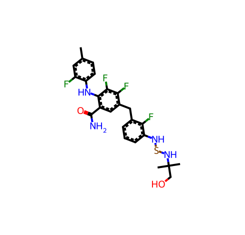 Cc1ccc(Nc2c(C(N)=O)cc(Cc3cccc(NSNC(C)(C)CO)c3F)c(F)c2F)c(F)c1